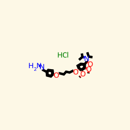 COc1c(OCCCCCOc2ccc(C=NN)cc2)ccc(C(=O)N(C(C)C)C(C)C)c1OC.Cl